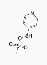 CS(=O)(=O)OBc1ccncc1